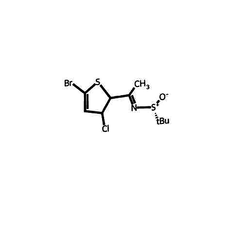 C/C(=N\[S@+]([O-])C(C)(C)C)C1SC(Br)=CC1Cl